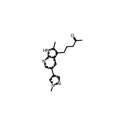 CC(=O)CCCc1c(C)[nH]c2ncc(-c3cnn(C)c3)cc12